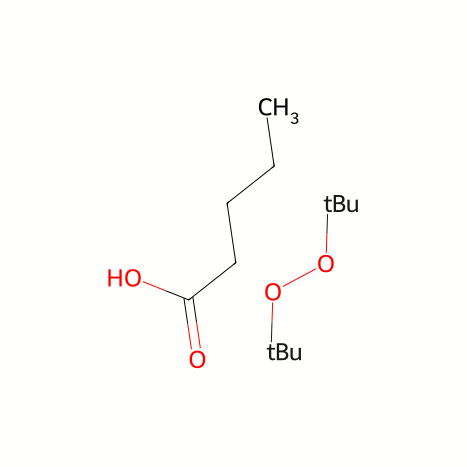 CC(C)(C)OOC(C)(C)C.CCCCC(=O)O